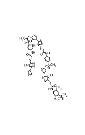 C=S(C)(=O)c1ccc(NC(=O)CSc2nnc(-c3csc(CS(=C)(=O)c4ccc(NC(=O)CSc5nnc(-c6csc(CN(C)S(=O)(=O)c7ccc(NC(=O)CSc8nnc(-c9ccsc9)n8CC)cc7)c6)n5CC)cc4)c3)n2CC)c(C)c1